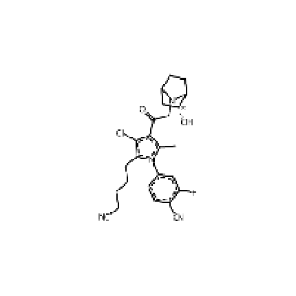 Cc1c(C(=O)CN2C3CCC2[C@H](O)C3)c(Cl)c(CCCCC#N)n1-c1ccc(C#N)c(F)c1